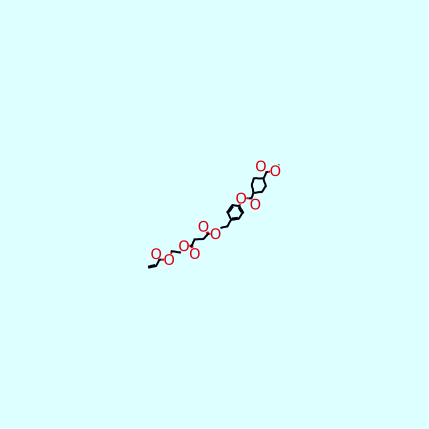 C=CC(=O)OCCOC(=O)CCC(=O)OCCc1ccc(OC(=O)C2CCC(C(=O)OC)CC2)cc1